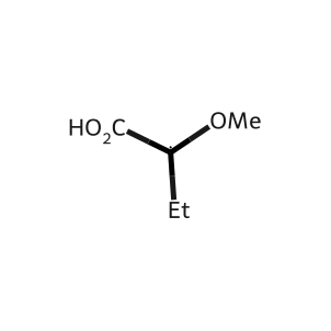 CC[C](OC)C(=O)O